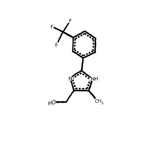 Cc1[nH]c(-c2cccc(C(F)(F)F)c2)nc1CO